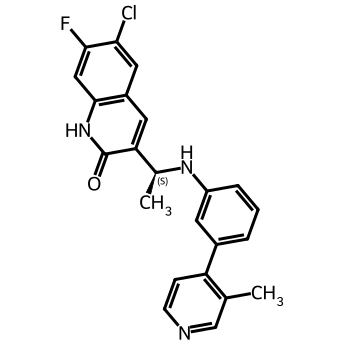 Cc1cnccc1-c1cccc(N[C@@H](C)c2cc3cc(Cl)c(F)cc3[nH]c2=O)c1